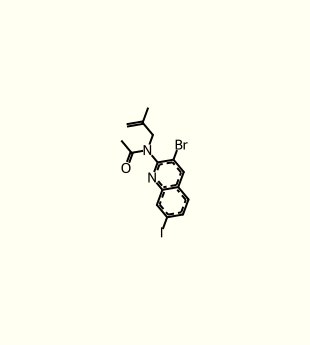 C=C(C)CN(C(C)=O)c1nc2cc(I)ccc2cc1Br